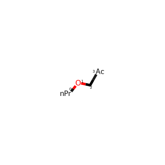 CCCOCC(C)=O